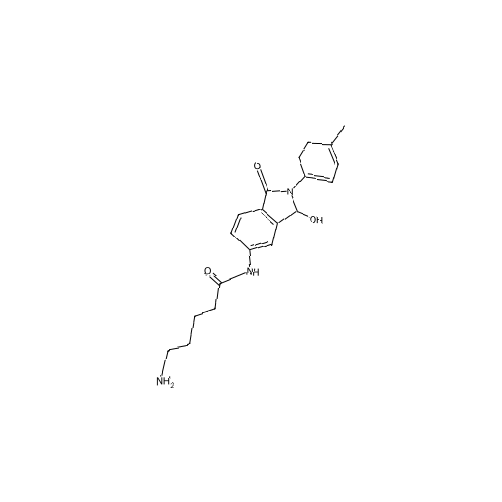 CC1=CC=C(N2C(=O)c3ccc(NC(=O)CCCCN)cc3C2O)CC1